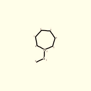 CSN1CCCCCC1